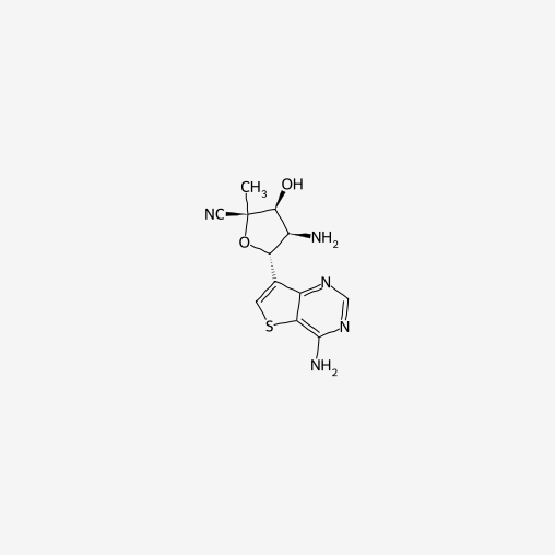 C[C@@]1(C#N)O[C@@H](c2csc3c(N)ncnc23)[C@H](N)[C@@H]1O